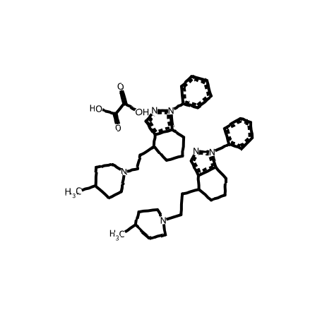 CC1CCN(CCC2CCCc3c2cnn3-c2ccccc2)CC1.CC1CCN(CCC2CCCc3c2cnn3-c2ccccc2)CC1.O=C(O)C(=O)O